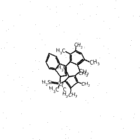 CC1=C(C)C(C)[C]([Zr]([CH3])([CH3])(=[SiH2])[CH]2C=C(c3c(C)c(C)cc(C)c3C)c3ccccc32)=C1C